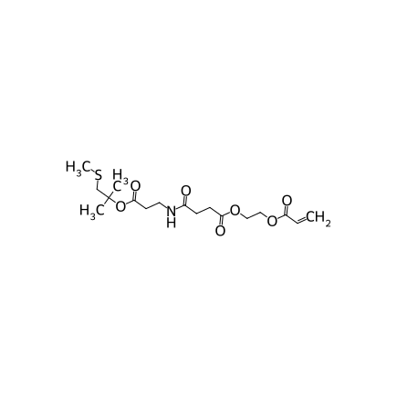 C=CC(=O)OCCOC(=O)CCC(=O)NCCC(=O)OC(C)(C)CSC